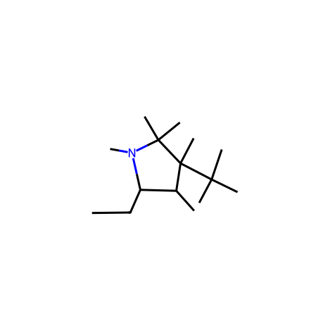 CCC1C(C)C(C)(C(C)(C)C)C(C)(C)N1C